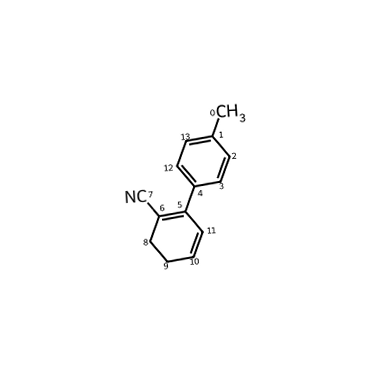 Cc1ccc(C2=C(C#N)CCC=C2)cc1